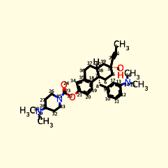 CC#C[C@@]1(O)CC[C@@]2(Cc3cccc(N(C)C)c3)c3ccc(OC(=O)N4CCC(N(C)C)CC4)cc3CC[C@@H]2C1